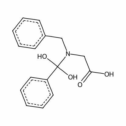 O=C(O)CN(Cc1ccccc1)C(O)(O)c1ccccc1